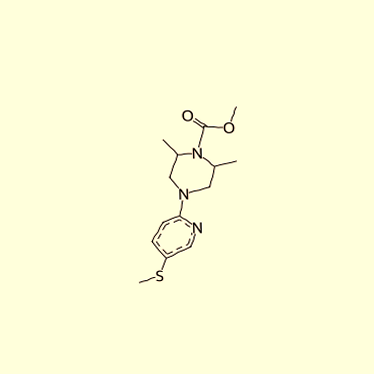 COC(=O)N1C(C)CN(c2ccc(SC)cn2)CC1C